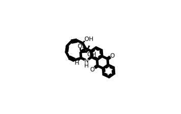 C[C@@H](O)[C@@]12O[C@]13c1ccc4c(c1N[C@H]2C#C/C=C\C#C[C@H]3O)C(=O)c1ccccc1C4=O